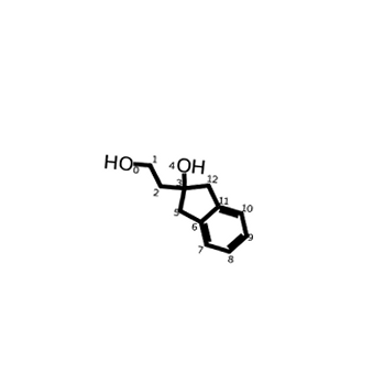 OCCC1(O)Cc2ccccc2C1